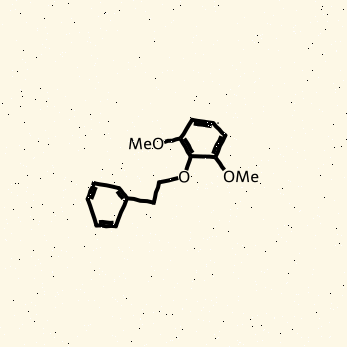 COc1c[c]cc(OC)c1OCCc1ccccc1